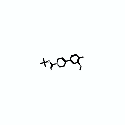 COc1cc(C2=CCN(C(=O)OC(C)(C)C)CC2)ccc1Cl